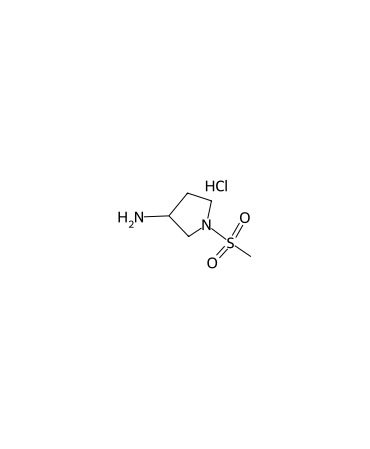 CS(=O)(=O)N1CCC(N)C1.Cl